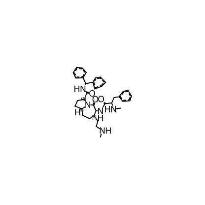 CNCC[C@H]1CC[C@H]2CC[C@@H](C(=O)NC(c3ccccc3)c3ccccc3)N2C(=O)C1NC(=O)C(Cc1ccccc1)NC